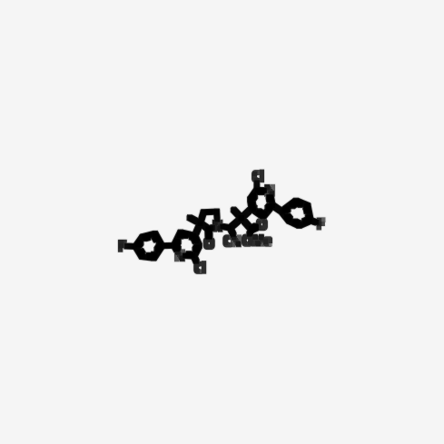 COC(=O)C(C)(c1cc(Cl)nc(-c2ccc(F)cc2)c1)C(C#N)N1CCC(C)(c2cc(Cl)nc(-c3ccc(F)cc3)c2)C1=O